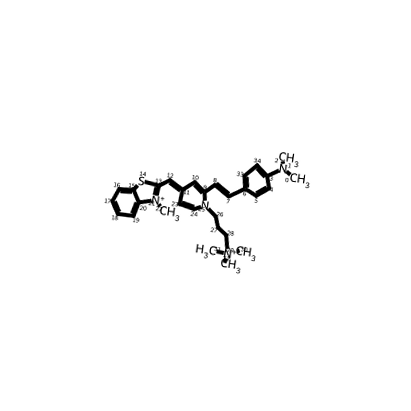 CN(C)c1ccc(/C=C/C2=CC(=Cc3sc4ccccc4[n+]3C)C=CN2CCC[N+](C)(C)C)cc1